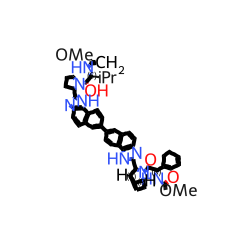 C=C(N[C@@H](C(C)C)C(O)N1CCCC1c1nc2ccc3cc(-c4ccc5c(ccc6nc(C7[C@H]8C9C[C@H](C98)N7C(=O)[C@H](NC(=O)OC)C7=CC=CCC7)[nH]c65)c4)ccc3c2[nH]1)OC